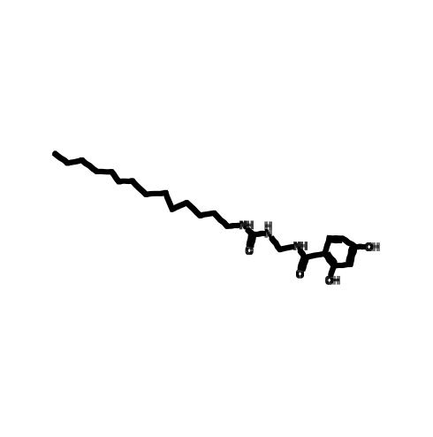 CCCCCCCCCCCCCCNC(=O)NCNC(=O)c1ccc(O)cc1O